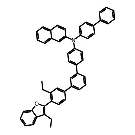 CCc1cc(-c2cccc(-c3ccc(N(c4ccc(-c5ccccc5)cc4)c4ccc5ccccc5c4)cc3)c2)ccc1-c1oc2ccccc2c1CC